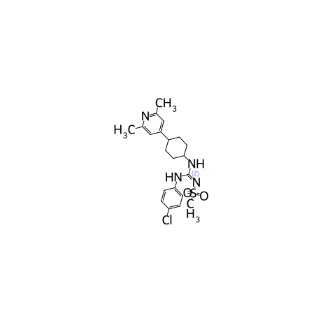 Cc1cc(C2CCC(N/C(=N/S(C)(=O)=O)Nc3ccc(Cl)cc3)CC2)cc(C)n1